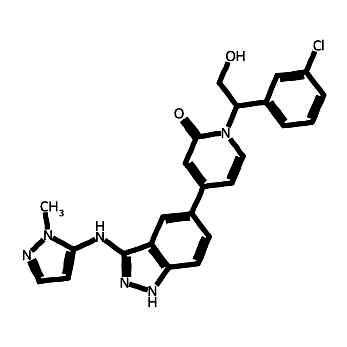 Cn1nccc1Nc1n[nH]c2ccc(-c3ccn(C(CO)c4cccc(Cl)c4)c(=O)c3)cc12